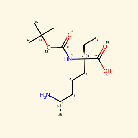 CC[C@@](CCC[C@H](C)N)(NC(=O)OC(C)(C)C)C(=O)O